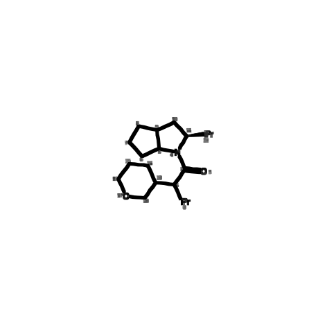 CC(C)C(C(=O)N1C2CCCC2C[C@H]1C(C)C)C1CCCOC1